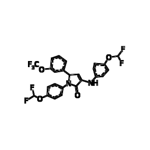 O=C1C(Nc2ccc(OC(F)F)cc2)=CC(c2cccc(OC(F)(F)F)c2)N1c1ccc(OC(F)F)cc1